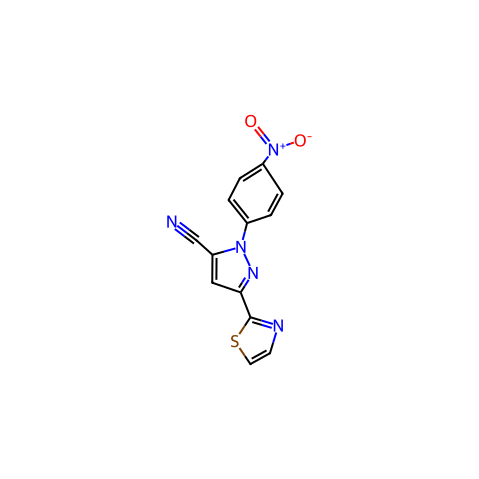 N#Cc1cc(-c2nccs2)nn1-c1ccc([N+](=O)[O-])cc1